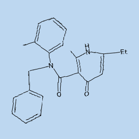 CCc1cc(=O)c(C(=O)N(Cc2ccccc2)c2ccccc2C)c(C)[nH]1